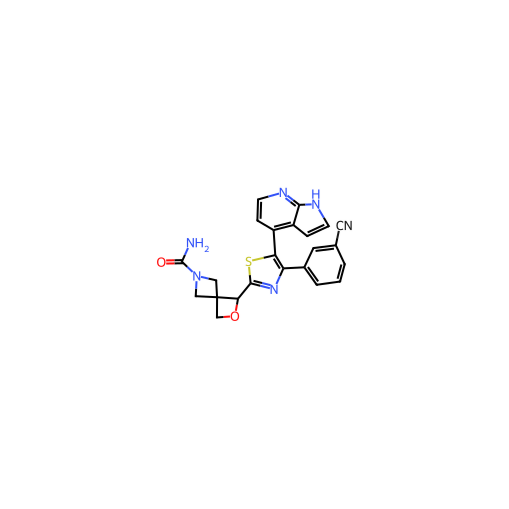 N#Cc1cccc(-c2nc(C3OCC34CN(C(N)=O)C4)sc2-c2ccnc3[nH]ccc23)c1